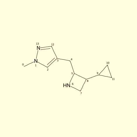 Cn1cc(CC2NCC2C2CC2)cn1